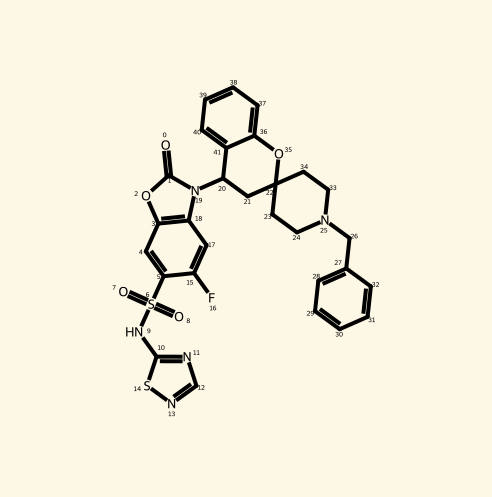 O=c1oc2cc(S(=O)(=O)Nc3ncns3)c(F)cc2n1C1CC2(CCN(Cc3ccccc3)CC2)Oc2ccccc21